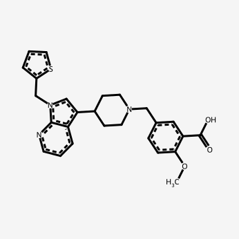 COc1ccc(CN2CCC(c3cn(Cc4cccs4)c4ncccc34)CC2)cc1C(=O)O